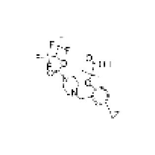 CC(C)(Oc1ccc(C2CC2)cc1CN1CCN(C(=O)OC(C(F)(F)F)C(F)(F)F)CC1)C(=O)O